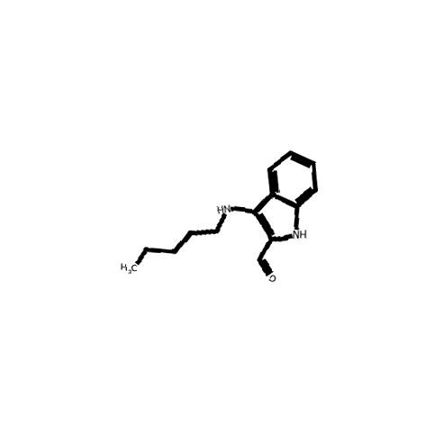 CCCCCNc1c(C=O)[nH]c2ccccc12